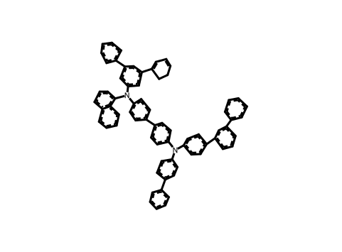 C1=CCCC(c2cc(-c3ccccc3)cc(N(c3ccc(-c4ccc(N(c5ccc(-c6ccccc6)cc5)c5ccc(-c6cccc(-c7ccccc7)c6)cc5)cc4)cc3)c3cccc4ccccc34)c2)=C1